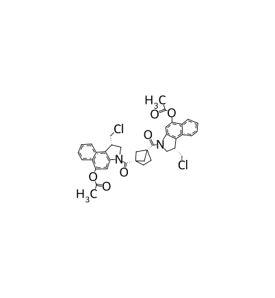 CC(=O)Oc1cc2c(c3ccccc13)[C@H](CCl)CN2C(=O)[C@]12CC[C@](C(=O)N3C[C@@H](CCl)c4c3cc(OC(C)=O)c3ccccc43)(C1)C2